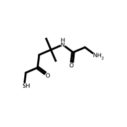 CC(C)(CC(=O)CS)NC(=O)CN